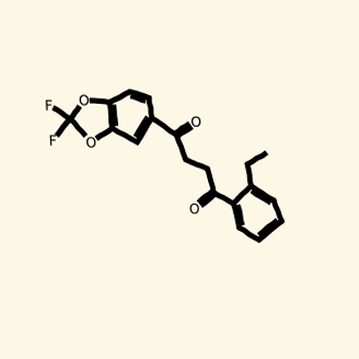 CCc1ccccc1C(=O)CCC(=O)c1ccc2c(c1)OC(F)(F)O2